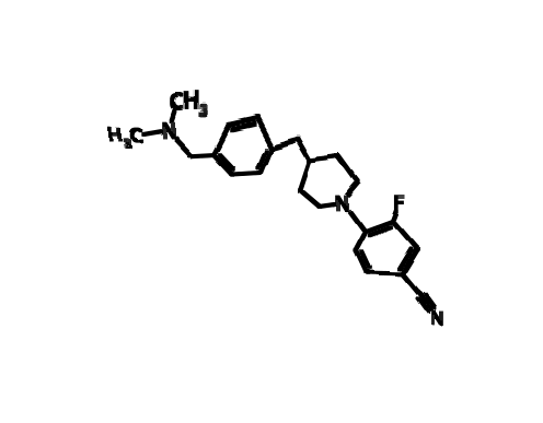 CN(C)Cc1ccc(CC2CCN(c3ccc(C#N)cc3F)CC2)cc1